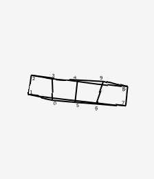 C12C3C4C1C1C2C2C3C4C12